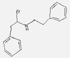 CCC(Cc1ccccc1)NCCc1ccccc1